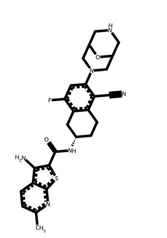 Cc1ccc2c(N)c(C(=O)N[C@H]3CCc4c(C#N)c(N5CC6CNCC(C5)O6)cc(F)c4C3)sc2n1